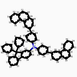 c1ccc(C2(c3ccccc3)c3ccccc3-c3ccc(N(c4ccc(-c5ccc6ccc7ccccc7c6c5)cc4)c4ccc(-c5ccc6ccc7ccccc7c6c5)cc4)cc32)cc1